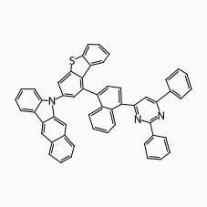 c1ccc(-c2cc(-c3ccc(-c4cc(-n5c6ccccc6c6cc7ccccc7cc65)cc5sc6ccccc6c45)c4ccccc34)nc(-c3ccccc3)n2)cc1